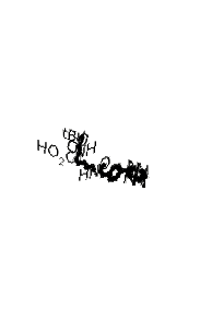 CC(C)(C)OC(=O)N[C@H](CCCCNC(=O)Cc1ccc(-c2nncnn2)cc1)C(=O)O